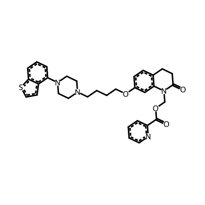 O=C(OCN1C(=O)CCc2ccc(OCCCCN3CCN(c4cccc5sccc45)CC3)cc21)c1ccccn1